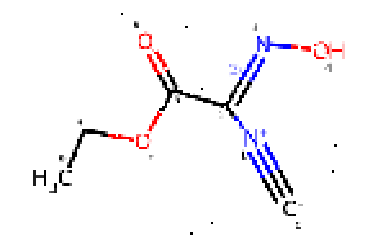 [C-]#[N+]/C(=N\O)C(=O)OCC